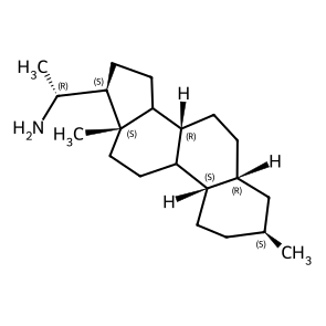 C[C@H]1CC[C@@H]2C3CC[C@@]4(C)C(CC[C@@H]4[C@@H](C)N)[C@@H]3CC[C@@H]2C1